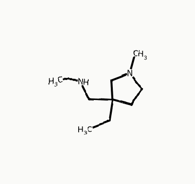 CCC1(CNC)CCN(C)C1